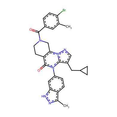 Cc1cc(C(=O)N2CCc3c(n4ncc(CC5CC5)c4n(-c4ccc5c(C)n[nH]c5c4)c3=O)C2)ccc1Br